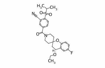 CCO[C@@H]1CC2(CCN(C(=O)c3ccc(S(=O)(=O)C(C)C)c(C#N)c3)CC2)Oc2ccc(F)cc21